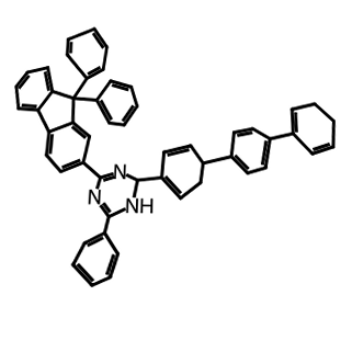 C1=CC(c2ccc(C3C=CC(C4N=C(c5ccc6c(c5)C(c5ccccc5)(c5ccccc5)c5ccccc5-6)N=C(c5ccccc5)N4)=CC3)cc2)=CCC1